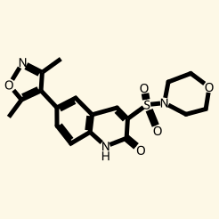 Cc1noc(C)c1-c1ccc2[nH]c(=O)c(S(=O)(=O)N3CCOCC3)cc2c1